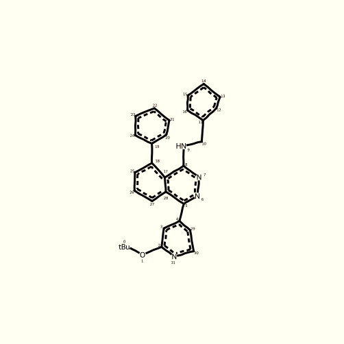 CC(C)(C)Oc1cc(-c2nnc(NCc3ccccc3)c3c(-c4ccccc4)cccc23)ccn1